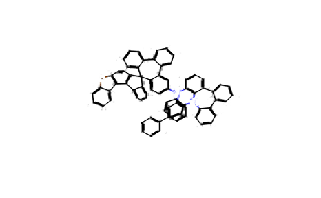 c1ccc(-c2cccc(N(c3ccc4c(c3)-c3ccccc3-c3ccccc3C43c4ccccc4-c4c3ccc3sc5ccccc5c43)c3cccc4c3N(c3ccccc3)c3ccccc3-c3ccccc3-4)c2)cc1